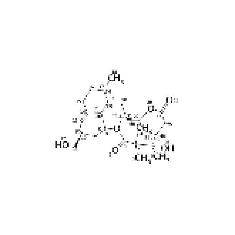 CCC(C)(C)C(=O)O[C@H]1C[C@@H](CO)C=C2CC[C@H](C)[C@H](CC[C@@H]3C[C@@H](O)CC(=O)O3)[C@H]21